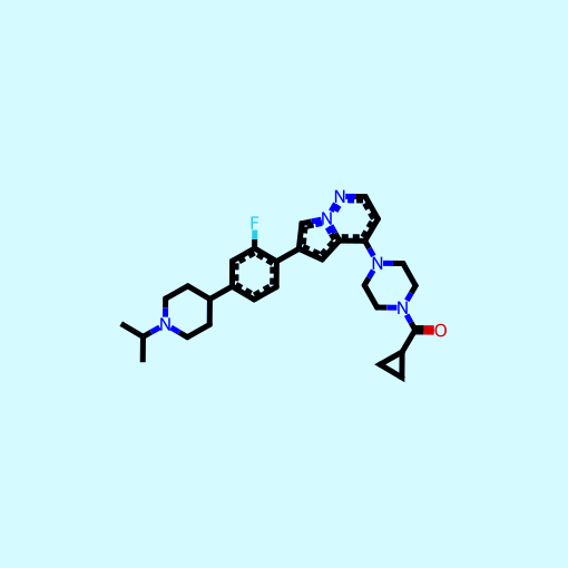 CC(C)N1CCC(c2ccc(-c3cc4c(N5CCN(C(=O)C6CC6)CC5)ccnn4c3)c(F)c2)CC1